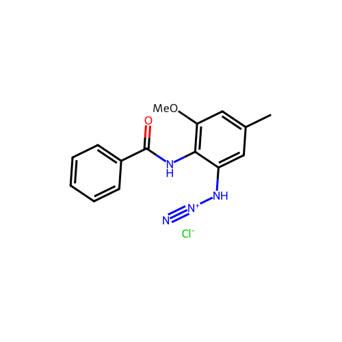 COc1cc(C)cc(N[N+]#N)c1NC(=O)c1ccccc1.[Cl-]